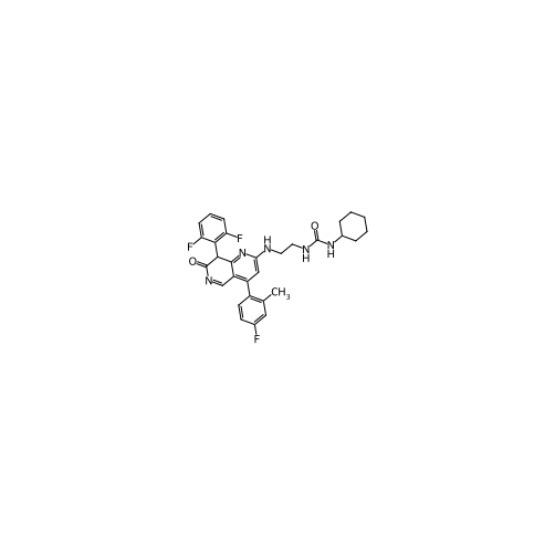 Cc1cc(F)ccc1-c1cc(NCCNC(=O)NC2CCCCC2)nc2c1C=NC(=O)C2c1c(F)cccc1F